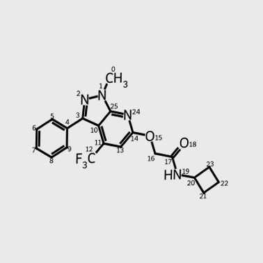 Cn1nc(-c2ccccc2)c2c(C(F)(F)F)cc(OCC(=O)NC3CCC3)nc21